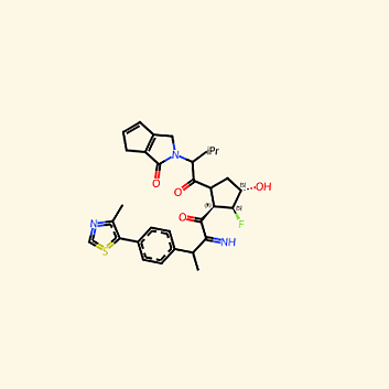 Cc1ncsc1-c1ccc(C(C)C(=N)C(=O)[C@H]2C(C(=O)C(C(C)C)N3CC4=C(CC=C4)C3=O)C[C@H](O)[C@H]2F)cc1